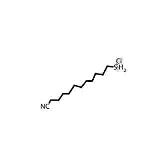 N#CCCCCCCCCCCC[SiH2]Cl